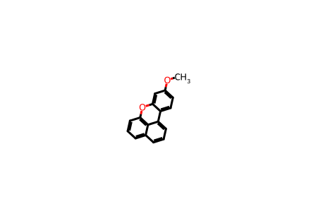 COc1ccc2c(c1)Oc1cccc3cccc-2c13